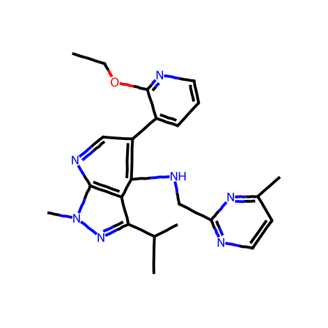 CCOc1ncccc1-c1cnc2c(c(C(C)C)nn2C)c1NCc1nccc(C)n1